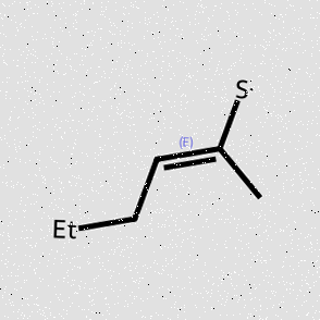 CCC/C=C(\C)[S]